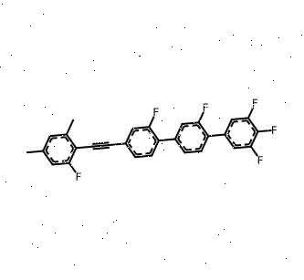 Cc1cc(C)c(C#Cc2ccc(-c3ccc(-c4cc(F)c(F)c(F)c4)c(F)c3)c(F)c2)c(F)c1